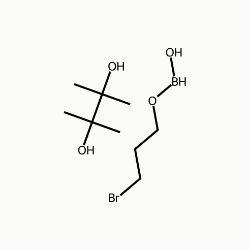 CC(C)(O)C(C)(C)O.OBOCCCBr